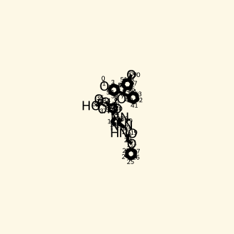 COc1ccc(C(OC[C@H]2O[C@@H](n3cnc4c(NC(=O)COc5ccccc5)ncnc43)CC2OP(=O)(O)O)(c2ccccc2)c2ccc(OC)cc2)cc1